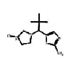 CC(C)(C)C(c1cnc(N)s1)N1CC[C@@H](O)C1